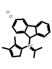 CC1=CC[C]([Zr+2](=[C](C)C)[CH]2c3ccccc3-c3ccccc32)=C1C.[Cl-].[Cl-]